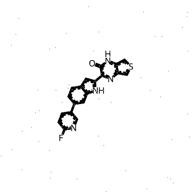 O=c1[nH]c2cscc2nc1-c1cc2ccc(-c3ccc(F)nc3)cc2[nH]1